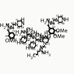 C=CCN(N)N=CN1CCNCC1.CCN=C(N(C)N)N1CCNCC1.CN=C(N(C)N)N1CCNCC1.COc1cc(CN(N)N=CN2CCNCC2)cc(OC)c1OC.COc1ccc(CN(N)N=CN2CCNCC2)cc1